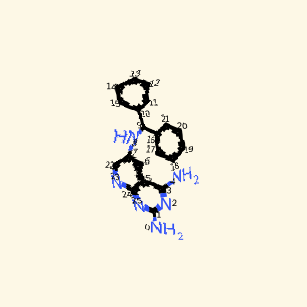 Nc1nc(N)c2cc(NC(c3ccccc3)c3ccccc3)cnc2n1